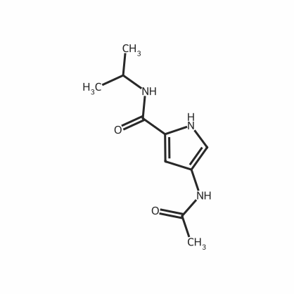 CC(=O)Nc1c[nH]c(C(=O)NC(C)C)c1